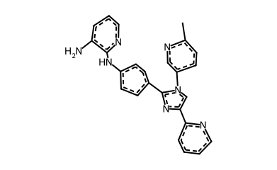 Cc1ccc(-n2cc(-c3ccccn3)nc2-c2ccc(Nc3ncccc3N)cc2)cn1